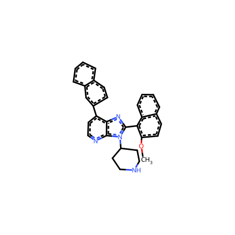 COc1ccc2ccccc2c1-c1nc2c(-c3ccc4ccccc4c3)ccnc2n1C1CCNCC1